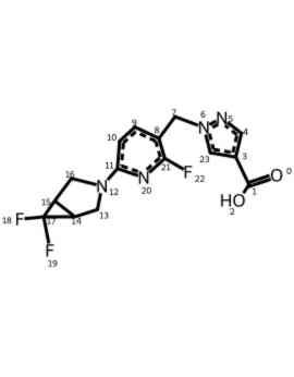 O=C(O)c1cnn(Cc2ccc(N3CC4C(C3)C4(F)F)nc2F)c1